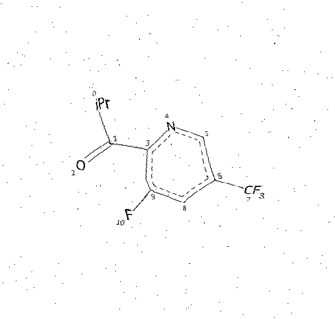 CC(C)C(=O)c1ncc(C(F)(F)F)cc1F